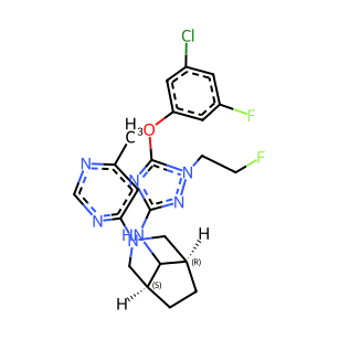 Cc1cc(N2C[C@H]3CC[C@@H](C2)C3Nc2nc(Oc3cc(F)cc(Cl)c3)n(CCF)n2)ncn1